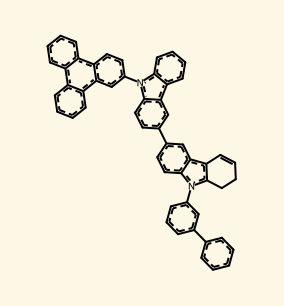 C1=Cc2c(n(-c3cccc(-c4ccccc4)c3)c3ccc(-c4ccc5c(c4)c4ccccc4n5-c4ccc5c6ccccc6c6ccccc6c5c4)cc23)CC1